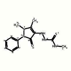 CNC(=S)NNc1c(C)n(C)n(-c2ccccc2)c1=O